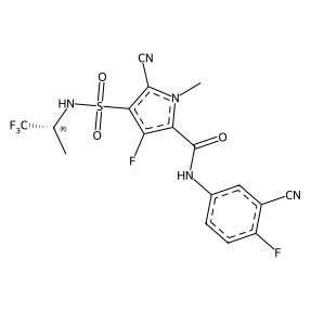 C[C@@H](NS(=O)(=O)c1c(F)c(C(=O)Nc2ccc(F)c(C#N)c2)n(C)c1C#N)C(F)(F)F